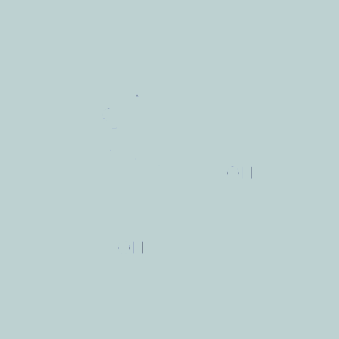 Oc1ccc(C2(c3ccc(O)cc3)C3CC4CC5CC2C3(C4)C5)cc1